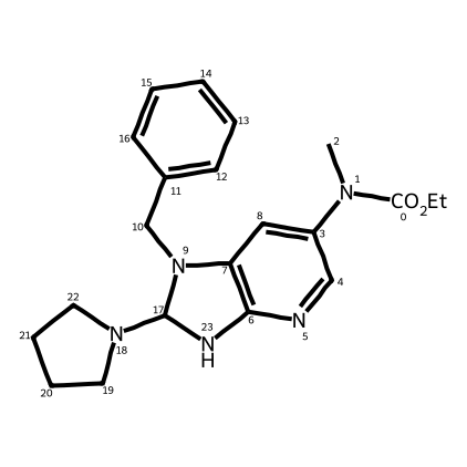 CCOC(=O)N(C)c1cnc2c(c1)N(Cc1ccccc1)C(N1CCCC1)N2